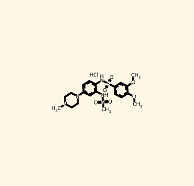 COc1ccc(S(=O)(=O)Nc2ccc(N3CCN(C)CC3)cc2NS(C)(=O)=O)cc1OC.Cl